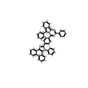 c1ccc(-c2nc(-c3ccc(-c4nc5c6ccccc6c6ccccc6c5n4-c4ccccc4)cc3)n3c(-c4ccccc4)c4ccccc4c3n2)cc1